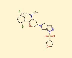 CC(C)(C)N(C(=O)O)[C@H]1C[C@@H](N2Cc3cnn(S(=O)(=O)[C@@H]4CCOC4)c3C2)CO[C@@H]1c1cc(F)ccc1F